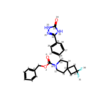 O=C(OCc1ccccc1)N1CCC2(C[C@H]1c1ccc(-c3n[nH]c(=O)[nH]3)cc1)CC(F)(F)C2